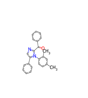 Cc1ccc(-n2c(-c3ccccc3)cnc2C(=O)c2ccccc2)c(C)c1